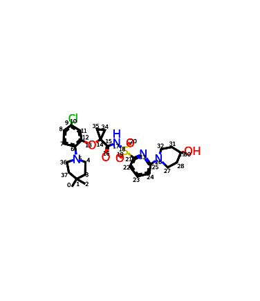 CC1(C)CCN(c2ccc(Cl)cc2OC2(C(=O)NS(=O)(=O)c3cccc(N4CCC(O)CC4)n3)CC2)CC1